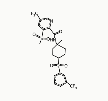 CC1(NC(=O)c2ncc(C(F)(F)F)cc2S(C)(=O)=O)CCC(S(=O)(=O)c2cccc(C(F)(F)F)c2)CC1